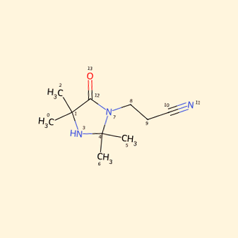 CC1(C)NC(C)(C)N(CCC#N)C1=O